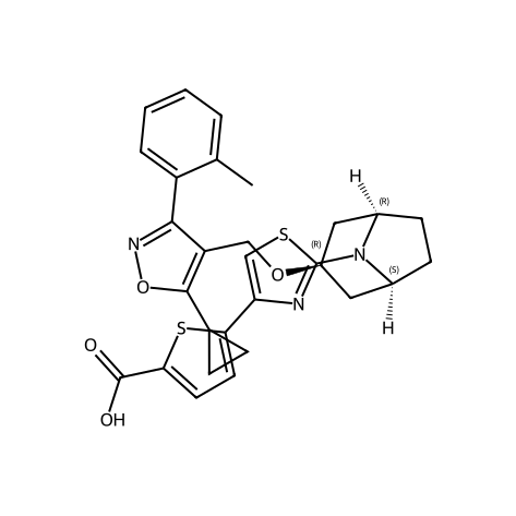 Cc1ccccc1-c1noc(C2CC2)c1CO[C@H]1C[C@H]2CC[C@@H](C1)N2c1nc(-c2ccc(C(=O)O)s2)cs1